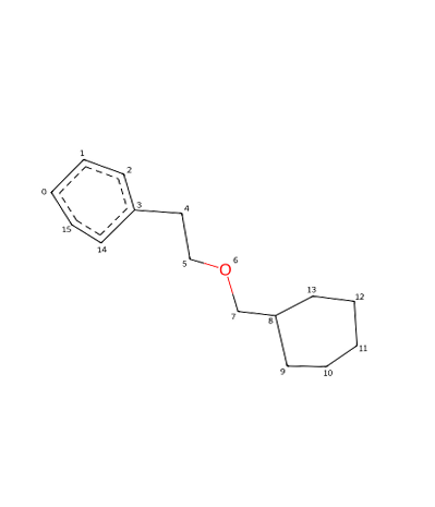 c1ccc(CCOCC2CCCCC2)cc1